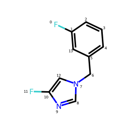 Fc1cccc(Cn2cnc(F)c2)c1